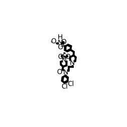 COCNS(=O)(=O)c1ccc(CC2CCN(CCCN(C(=O)C3CCN(S(C)(=O)=O)CC3)c3ccc(Cl)c(Cl)c3)CC2)cc1